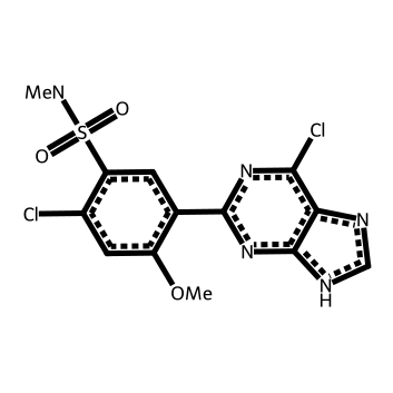 CNS(=O)(=O)c1cc(-c2nc(Cl)c3nc[nH]c3n2)c(OC)cc1Cl